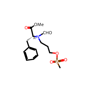 COC(=O)[C@@H](Cc1ccccc1)N(C=O)CCCOS(C)(=O)=O